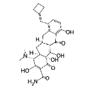 CN(C)[C@H]1C(O)=C(C(N)=O)C(=O)[C@]2(O)C(O)=C3C(=O)c4c(O)ccc(C=C5CCC5)c4C[C@@H]3C[C@H]12